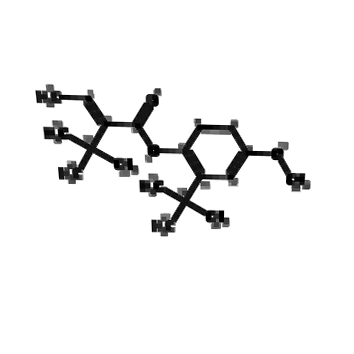 CC=C(C(=O)Oc1ccc(OC)cc1C(C)(C)C)C(C)(C)C